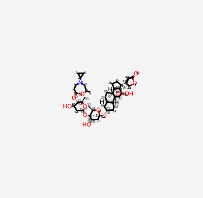 CC1CN(C2CC2)CCC(O[C@H]2[C@@H](O)C[C@H](O[C@H]3[C@@H](O)C[C@H](O[C@H]4CC[C@@]5(C)[C@H](CC[C@@H]6[C@@H]5C[C@@H](O)[C@]5(C)[C@@H](C7=CC(=O)OC7)CC[C@]65O)C4)O[C@@H]3C)O[C@@H]2C)O1